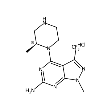 C[C@H]1CNCCN1c1nc(N)nc2c1c(C(F)(F)F)nn2C.Cl